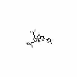 C=C/C(Cl)=C\C=C1/CC(CCC(=O)O)=CN1[SH](=O)(N=O)c1ccc(-c2ccc(C)o2)s1